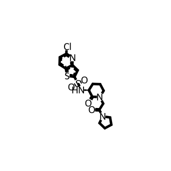 O=C(CN1CCC[C@H](NS(=O)(=O)c2cc3nc(Cl)ccc3s2)C1=O)N1CCCC1